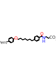 CCCCCc1ccc(OCCCCCCCc2ccc(C(=O)NCCC(=O)O)cc2)cc1